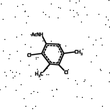 CC(=O)Nc1cc(C)c(Cl)c(C)c1Cl